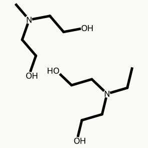 CCN(CCO)CCO.CN(CCO)CCO